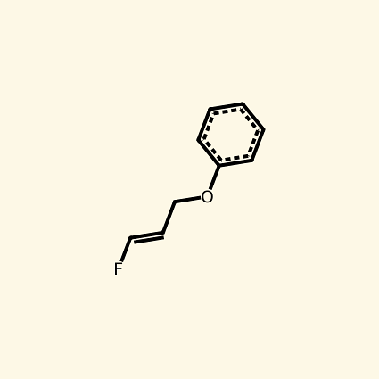 F/C=C/COc1ccccc1